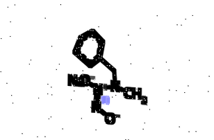 CN(Cc1ccccc1)/[N+]([O-])=N\[O-].[Na+]